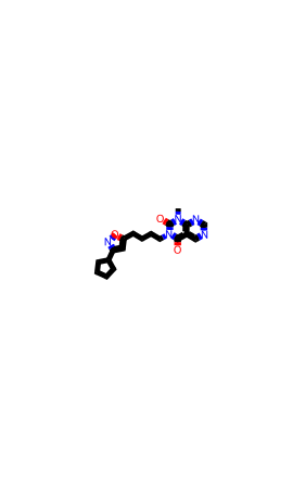 Cn1c(=O)n(CCCCc2cc(C3CCCC3)no2)c(=O)c2cncnc21